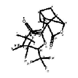 CCC(C)(C)C(=O)OC1C2CC3C1OC(=O)C3(C(=O)OC(C(F)(F)F)C(F)(F)F)C2